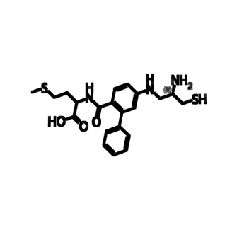 CSCCC(NC(=O)c1ccc(NC[C@@H](N)CS)cc1-c1ccccc1)C(=O)O